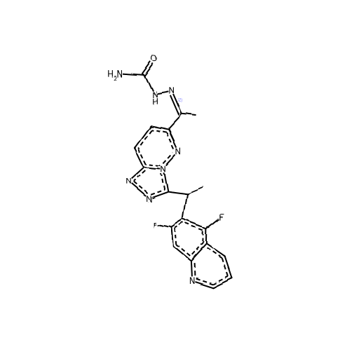 C/C(=N/NC(N)=O)c1ccc2nnc(C(C)c3c(F)cc4ncccc4c3F)n2n1